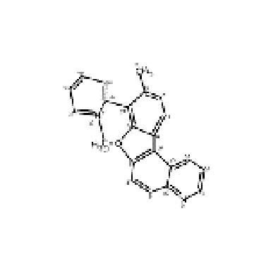 Cc1ccc2c(oc3ccc4ncccc4c32)c1-c1cccc[n+]1C